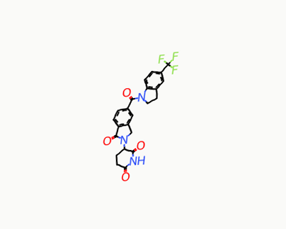 O=C1CCC(N2Cc3cc(C(=O)N4CCc5cc(C(F)(F)F)ccc54)ccc3C2=O)C(=O)N1